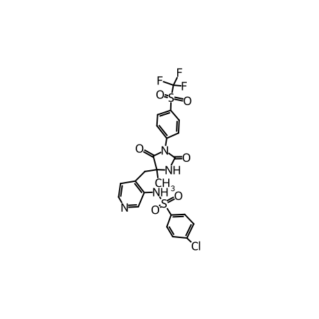 CC1(Cc2ccncc2NS(=O)(=O)c2ccc(Cl)cc2)NC(=O)N(c2ccc(S(=O)(=O)C(F)(F)F)cc2)C1=O